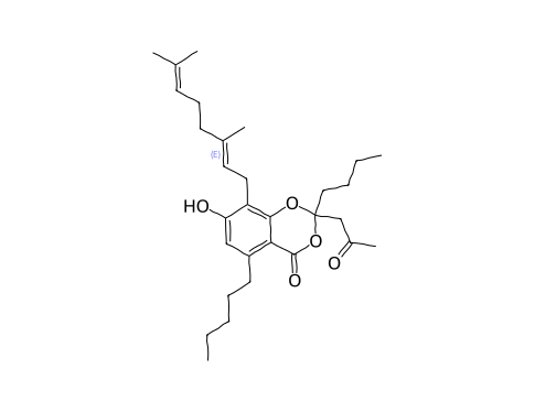 CCCCCc1cc(O)c(C/C=C(\C)CCC=C(C)C)c2c1C(=O)OC(CCCC)(CC(C)=O)O2